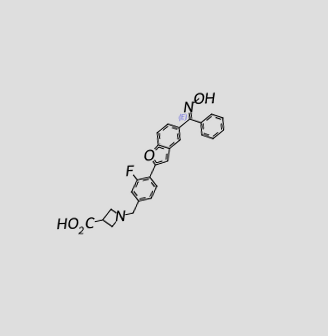 O=C(O)C1CN(Cc2ccc(-c3cc4cc(/C(=N/O)c5ccccc5)ccc4o3)c(F)c2)C1